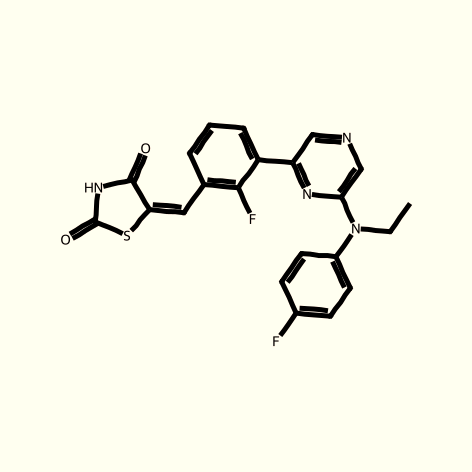 CCN(c1ccc(F)cc1)c1cncc(-c2cccc(C=C3SC(=O)NC3=O)c2F)n1